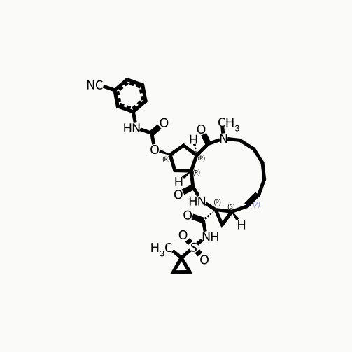 CN1CCCC/C=C\[C@@H]2C[C@@]2(C(=O)NS(=O)(=O)C2(C)CC2)NC(=O)[C@@H]2C[C@@H](OC(=O)Nc3cccc(C#N)c3)C[C@H]2C1=O